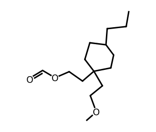 CCCC1CCC(CCOC)(CCOC=O)CC1